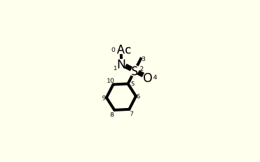 CC(=O)N=S(C)(=O)C1CCCCC1